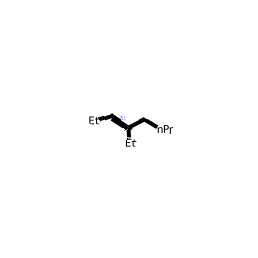 CC/[C]=C(\CC)CCCC